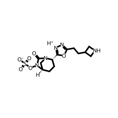 O=C1N2C[C@@H](CC[C@H]2c2nnc(CCC3CNC3)o2)N1OS(=O)(=O)[O-].[H+]